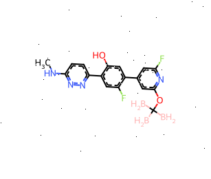 BC(B)(B)Oc1cc(-c2cc(O)c(-c3ccc(NC)nn3)cc2F)cc(F)n1